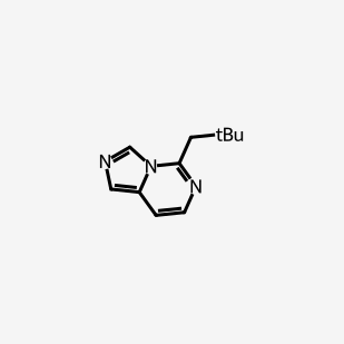 CC(C)(C)Cc1nccc2cncn12